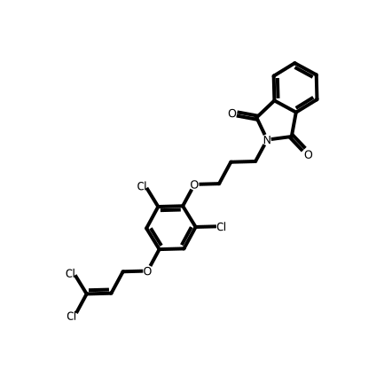 O=C1c2ccccc2C(=O)N1CCCOc1c(Cl)cc(OCC=C(Cl)Cl)cc1Cl